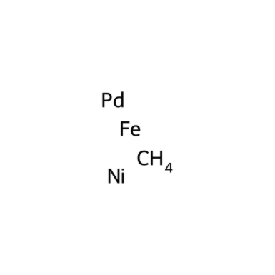 C.[Fe].[Ni].[Pd]